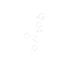 O=C(Nc1ccc(-n2ccccc2=O)cc1)[C@H](NC(=S)Nc1ccc(Cl)cc1)c1ccccc1